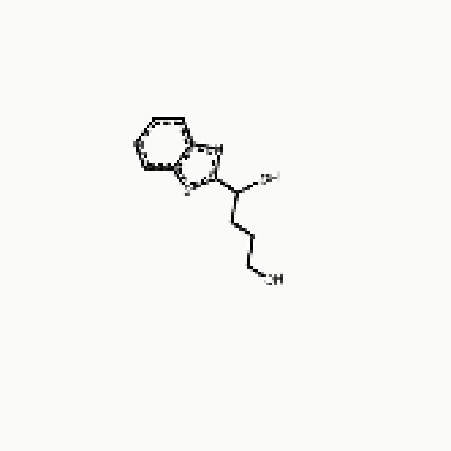 OCCCC(O)c1nc2cc[c]cc2s1